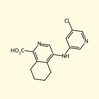 O=C(O)c1ncc(Nc2cncc(Cl)c2)c2c1CCCC2